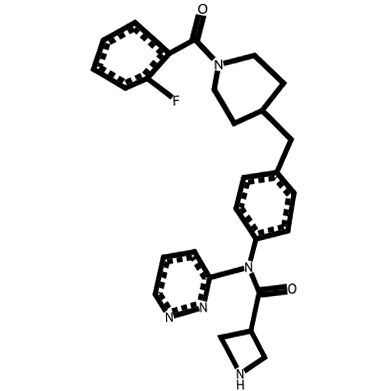 O=C(c1ccccc1F)N1CCC(Cc2ccc(N(C(=O)C3CNC3)c3cccnn3)cc2)CC1